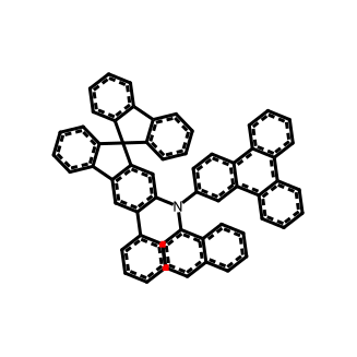 c1ccc(-c2cc3c(cc2N(c2ccc4c5ccccc5c5ccccc5c4c2)c2cccc4ccccc24)C2(c4ccccc4-c4ccccc42)c2ccccc2-3)cc1